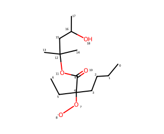 CCCCC(CC)(O[O])C(=O)OC(C)(C)CC(C)O